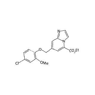 CCOC(=O)c1cc(COc2ccc(Cl)cc2OC)cc2nccn12